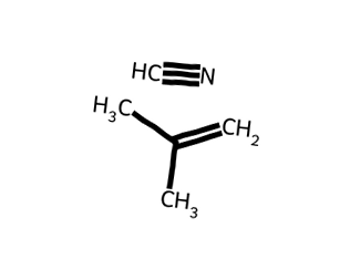 C#N.C=C(C)C